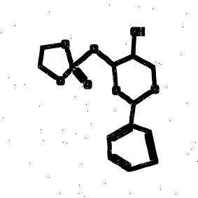 O=P1(OC2OC(c3ccccc3)OCC2O)OCCO1